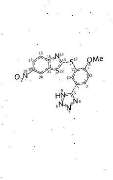 COc1ccc(-c2nnn[nH]2)cc1Sc1nc2ccc([N+](=O)[O-])cc2s1